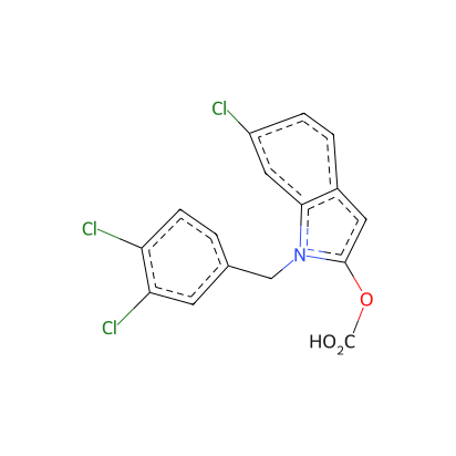 O=C(O)Oc1cc2ccc(Cl)cc2n1Cc1ccc(Cl)c(Cl)c1